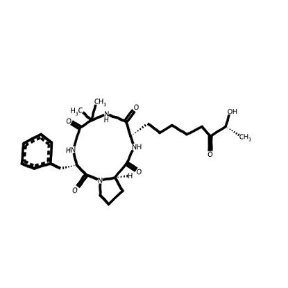 C[C@@H](O)C(=O)CCCCC[C@@H]1NC(=O)[C@H]2CCCN2C(=O)[C@H](Cc2ccccc2)NC(=O)C(C)(C)NC1=O